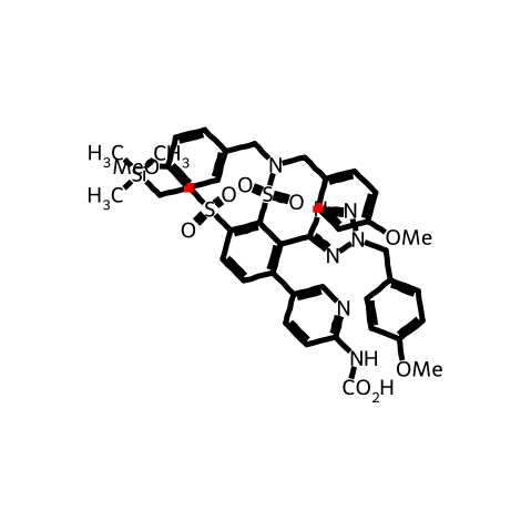 COc1ccc(CN(Cc2ccc(OC)cc2)S(=O)(=O)c2c(S(=O)(=O)CC[Si](C)(C)C)ccc(-c3ccc(NC(=O)O)nc3)c2-c2nnn(Cc3ccc(OC)cc3)n2)cc1